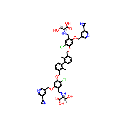 Cc1c(COc2cc(OCc3cncc(C4=NC4)c3)c(CN[C@H](C(=O)O)[C@@H](C)O)cc2Cl)cccc1-c1cccc(COc2cc(OCc3cncc(C4=NC4)c3)c(CN[C@H](C(=O)O)[C@@H](C)O)cc2Cl)c1C